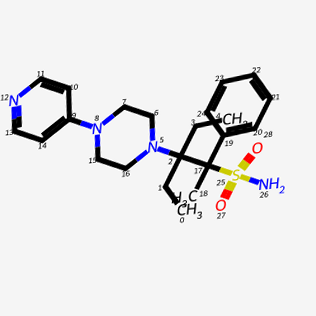 CCC(CC)(N1CCN(c2ccncc2)CC1)C(C)(c1ccccc1)S(N)(=O)=O